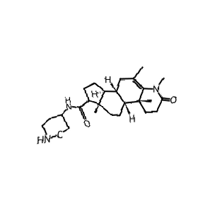 CC1=C2N(C)C(=O)CC[C@]2(C)[C@@H]2CC[C@]3(C)C(C(=O)NC4CCNCC4)CC[C@H]3[C@@H]2C1